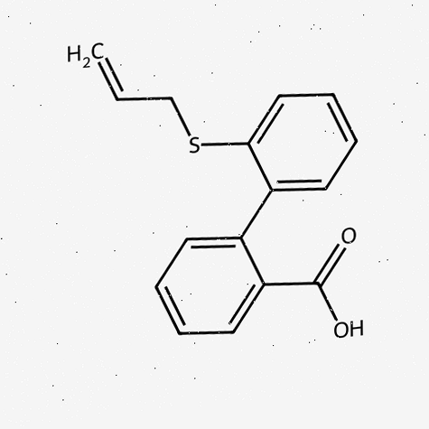 C=CCSc1ccccc1-c1ccccc1C(=O)O